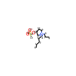 CCCCC[N+]1(CCC)CCCC1.CS(=O)(=O)[O-]